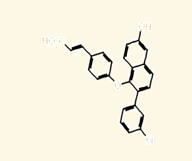 O=C(O)/C=C/c1ccc(Oc2c(-c3cccc(Cl)c3)ccc3cc(O)ccc23)cc1